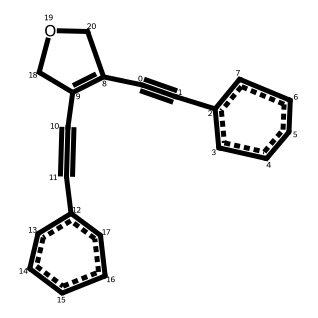 C(#Cc1ccccc1)C1=C(C#Cc2ccccc2)COC1